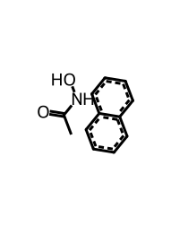 CC(=O)NO.c1ccc2ccccc2c1